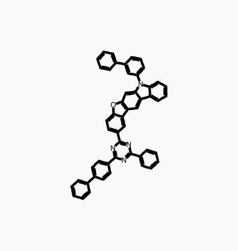 c1ccc(-c2ccc(-c3nc(-c4ccccc4)nc(-c4ccc5oc6cc7c(cc6c5c4)c4ccccc4n7-c4cccc(-c5ccccc5)c4)n3)cc2)cc1